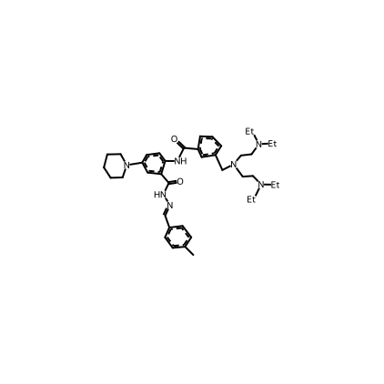 CCN(CC)CCN(CCN(CC)CC)Cc1cccc(C(=O)Nc2ccc(N3CCCCC3)cc2C(=O)N/N=C/c2ccc(C)cc2)c1